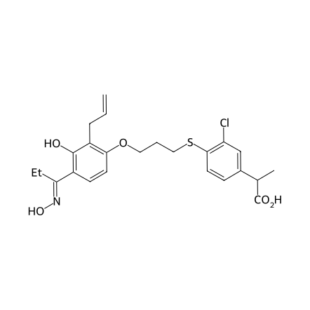 C=CCc1c(OCCCSc2ccc(C(C)C(=O)O)cc2Cl)ccc(C(CC)=NO)c1O